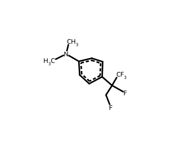 CN(C)c1ccc(C(F)(CF)C(F)(F)F)cc1